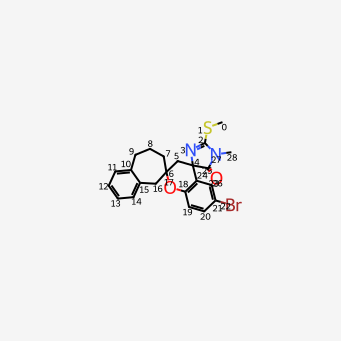 CSC1=NC2(CC3(CCCc4ccccc4C3)Oc3ccc(Br)cc32)C(=O)N1C